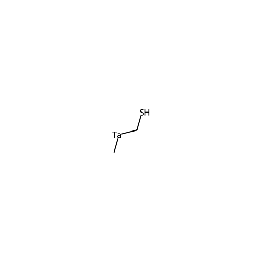 [CH3][Ta][CH2]S